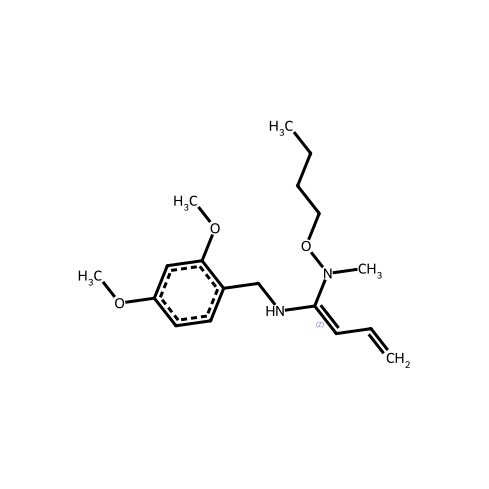 C=C/C=C(/NCc1ccc(OC)cc1OC)N(C)OCCCC